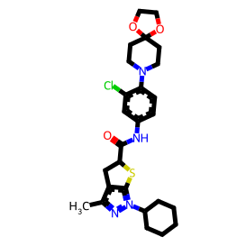 Cc1nn(C2CCCCC2)c2c1CC(C(=O)Nc1ccc(N3CCC4(CC3)OCCO4)c(Cl)c1)S2